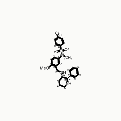 COc1ccc(N(C)S(=O)(=O)c2ccc(C)cc2)cc1CN[C@@H]1CCCN[C@@H]1c1ccccc1